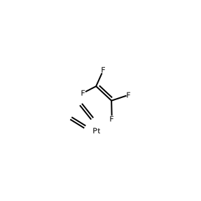 C=C.C=C.FC(F)=C(F)F.[Pt]